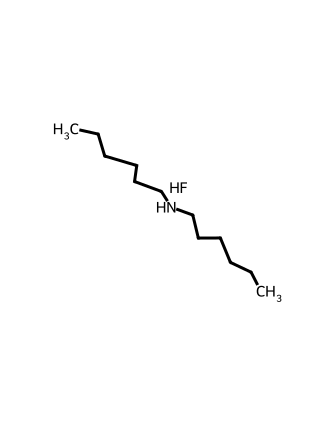 CCCCCCNCCCCCC.F